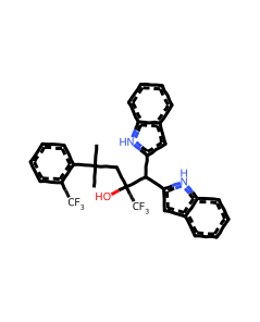 CC(C)(CC(O)(C(c1cc2ccccc2[nH]1)c1cc2ccccc2[nH]1)C(F)(F)F)c1ccccc1C(F)(F)F